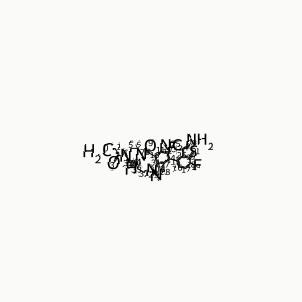 C=CC(=O)N1CCN2C(=O)c3cc(F)c(-c4ccc(F)c5sc(N)c(C#N)c45)c4cnn(c34)CC[C@H]2C1